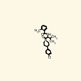 Cc1ccccc1C(=O)NC(C(=O)N1CCC(c2ccc(Cl)cc2)CC1)C(C)C